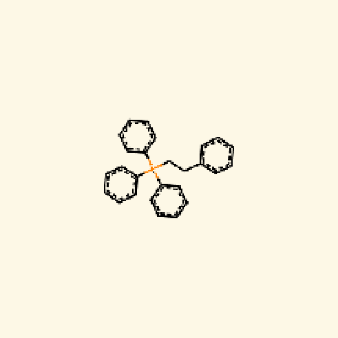 c1ccc(CC[P](c2ccccc2)(c2ccccc2)c2ccccc2)cc1